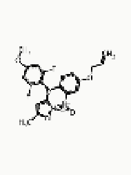 C=CCOc1ccc(N(c2c(F)cc(OC)cc2F)c2cc(C)nn2C)c([N+](=O)[O-])c1